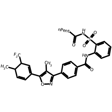 CCCCCC(=O)NS(=O)(=O)c1ccccc1NC(=O)c1ccc(-c2noc(C3=CC(C(F)(F)F)C(C)C=C3)c2C)cc1